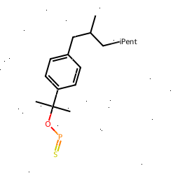 CCCC(C)CC(C)Cc1ccc(C(C)(C)OP=S)cc1